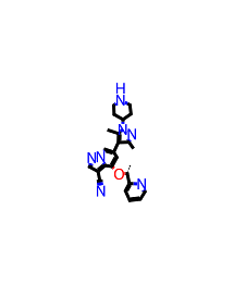 Cc1nn(C2CCNCC2)c(C)c1-c1cc(O[C@H](C)c2ccccn2)c2c(C#N)cnn2c1